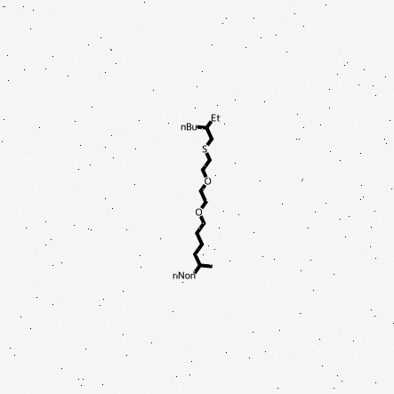 CCCCCCCCCC(C)CCCCOCCOCCSCC(CC)CCCC